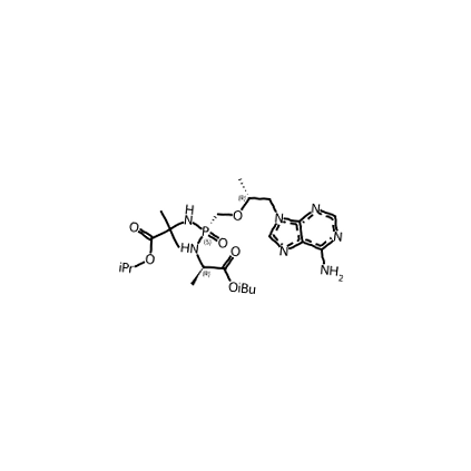 CC(C)COC(=O)[C@@H](C)N[P@@](=O)(CO[C@H](C)Cn1cnc2c(N)ncnc21)NC(C)(C)C(=O)OC(C)C